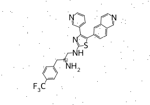 N[C@H](CNc1nc(-c2cccnc2)c(-c2ccc3cnccc3c2)s1)Cc1ccc(C(F)(F)F)cc1